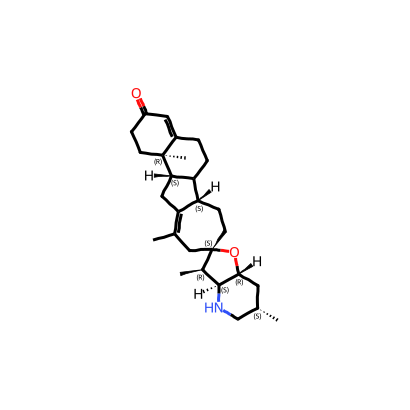 CC1=C2C[C@H]3C(CCC4=CC(=O)CC[C@@]43C)[C@@H]2CC[C@@]2(C1)O[C@@H]1C[C@H](C)CN[C@H]1[C@H]2C